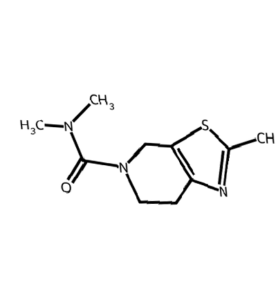 Cc1nc2c(s1)CN(C(=O)N(C)C)CC2